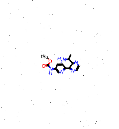 CC(N)c1nccnc1-c1ccc(NC(=O)OC(C)(C)C)cn1